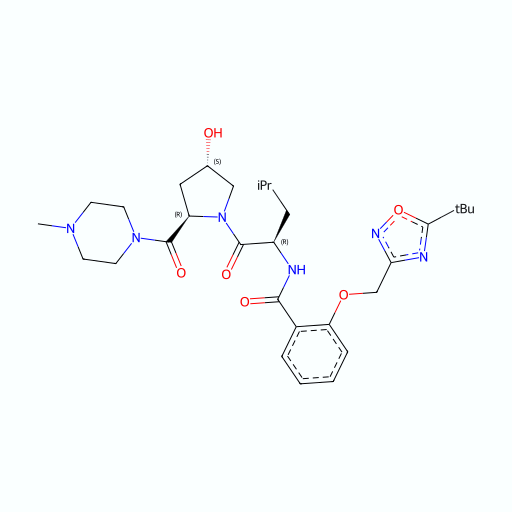 CC(C)C[C@@H](NC(=O)c1ccccc1OCc1noc(C(C)(C)C)n1)C(=O)N1C[C@@H](O)C[C@@H]1C(=O)N1CCN(C)CC1